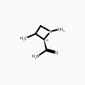 CC1CN(C)[C@H]1C(N)=O